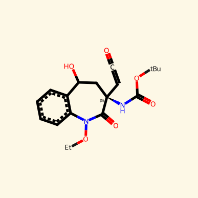 CCON1C(=O)[C@](C=C=O)(NC(=O)OC(C)(C)C)CC(O)c2ccccc21